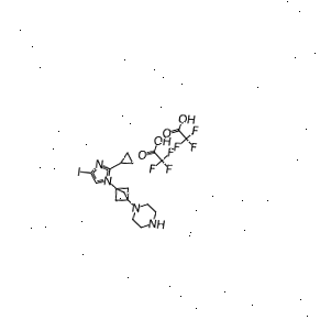 Ic1cn(C23CC(N4CCNCC4)(C2)C3)c(C2CC2)n1.O=C(O)C(F)(F)F.O=C(O)C(F)(F)F